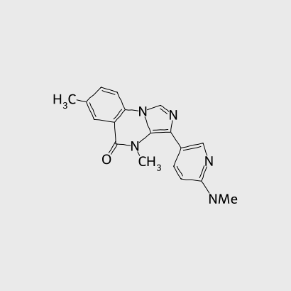 CNc1ccc(-c2ncn3c4ccc(C)cc4c(=O)n(C)c23)cn1